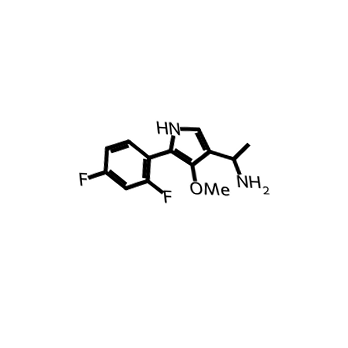 COc1c(C(C)N)c[nH]c1-c1ccc(F)cc1F